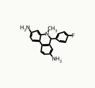 CN1c2cc(N)ccc2-c2ccc(N)cc2C1c1ccc(F)cc1